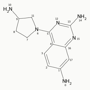 Nc1ccc2c(N3CCC(N)C3)nc(N)nc2c1